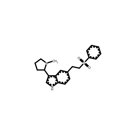 CN1CCCC1c1c[nH]c2ccc(CCS(=O)(=O)c3ccccc3)cc12